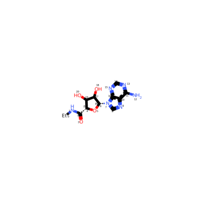 CCNC(=O)[C@H]1O[C@@H](n2cnc3c(N)ncnc32)C(O)C1O